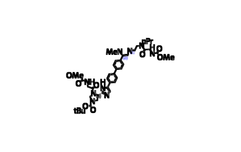 CCCN(C/C=N/C=C(\NC)c1ccc(-c2ccc(-c3cnc([C@@H]4CN(C(=O)OC(C)(C)C)CN4C(=O)CNC(=O)OC)[nH]3)cc2)cc1)C(=O)CNC(=O)OC